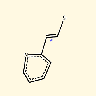 [S]/C=C/c1ccccn1